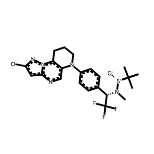 CN([C@@H](c1ccc(N2CCCc3c2cnc2cc(Cl)nn32)cc1)C(F)(F)F)[S@+]([O-])C(C)(C)C